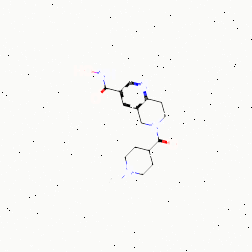 CC(=O)N1CCC(C(=O)N2CCc3ncc(C(=O)NO)cc3C2)CC1